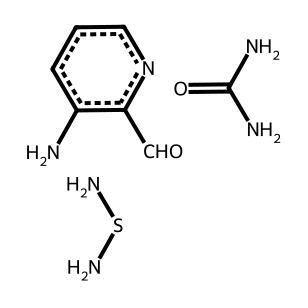 NC(N)=O.NSN.Nc1cccnc1C=O